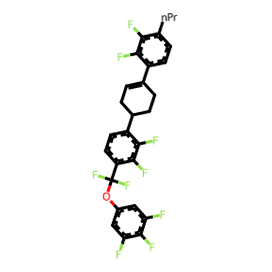 CCCc1ccc(C2=CCC(c3ccc(C(F)(F)Oc4cc(F)c(F)c(F)c4)c(F)c3F)CC2)c(F)c1F